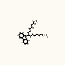 CCCCCCCC(CCCCCCC)n1c2ccccc2c2ccccc21